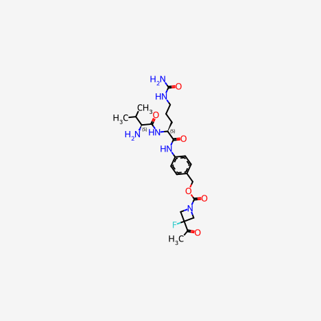 CC(=O)C1(F)CN(C(=O)OCc2ccc(NC(=O)[C@H](CCCNC(N)=O)NC(=O)[C@@H](N)C(C)C)cc2)C1